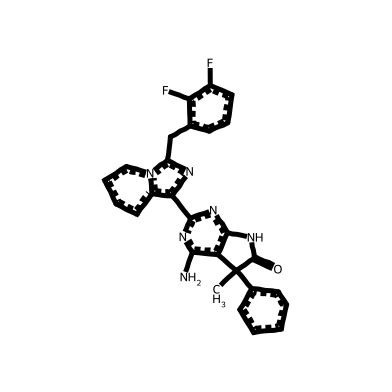 CC1(c2ccccc2)C(=O)Nc2nc(-c3nc(Cc4cccc(F)c4F)n4ccccc34)nc(N)c21